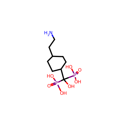 NCCC1CCC(C(O)(P(=O)(O)O)P(=O)(O)O)CC1